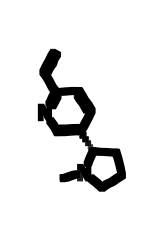 C=Cc1ccc([C@@H]2CCCN2C)cn1